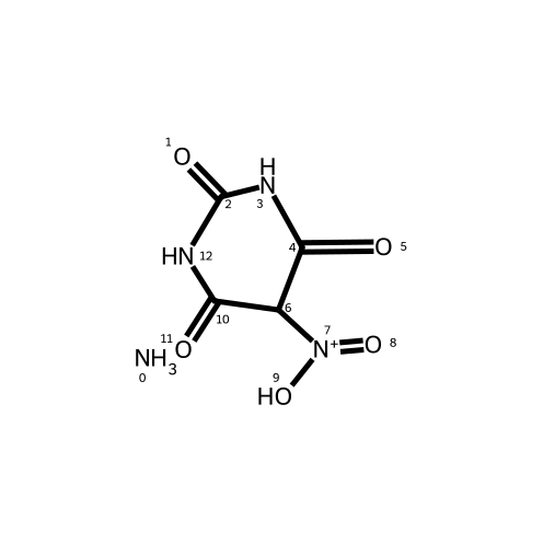 N.O=C1NC(=O)C([N+](=O)O)C(=O)N1